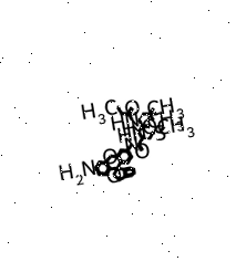 CCCC(=O)N[C@@H](CC(C)C)C(=O)N[C@@H](CCSC)C(=O)Nc1ccc2c(c1)Oc1cc(N)ccc1C21OCc2ccccc21